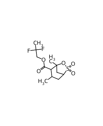 CC1CC2CC(C)(OS2(=O)=O)C1C(=O)OCC(C)(F)F